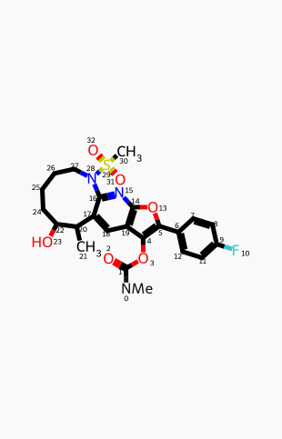 CNC(=O)Oc1c(-c2ccc(F)cc2)oc2nc3c(cc12)C(C)C(O)CCCCN3S(C)(=O)=O